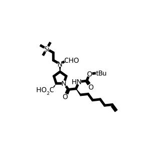 C=CCCCCC[C@H](NC(=O)OC(C)(C)C)C(=O)N1C[C@H](N(C=O)CC[Si](C)(C)C)C[C@H]1C(=O)O